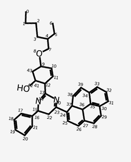 CCCCC(CC)COC1C=CC(C2=NC(c3ccccc3)CC(C3=CC=C4C=Cc5cccc6c5C4C3C=C6)=N2)C(O)C1